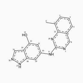 Cc1cccc2cnc(Nc3cc(O)c4cn[nH]c4c3)nc12